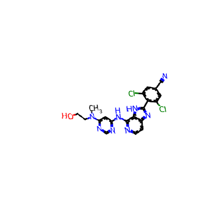 CN(CCO)c1cc(Nc2nccc3nc(-c4c(Cl)cc(C#N)cc4Cl)[nH]c23)ncn1